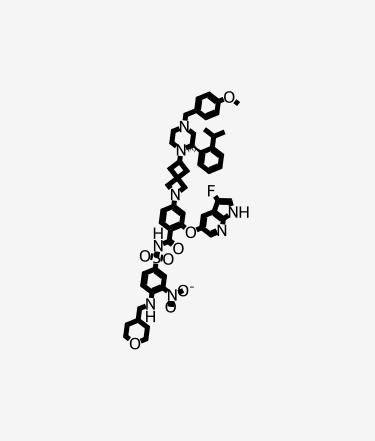 COc1ccc(CN2CCN(C3CC4(C3)CN(c3ccc(C(=O)NS(=O)(=O)c5ccc(NCC6CCOCC6)c([N+](=O)[O-])c5)c(Oc5cnc6[nH]cc(F)c6c5)c3)C4)[C@H](c3ccccc3C(C)C)C2)cc1